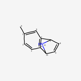 Cc1ccc2c(c1)C1C=CC2N1